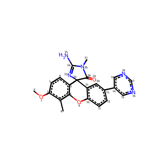 COc1ccc2c(c1C)Oc1ccc(-c3cncnc3)cc1C21N=C(N)N(C)C1=O